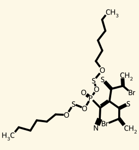 C=C(Br)C(=S)C(C(=S)C(=C)Br)=C(C#N)P(=O)(OSOCCCCCC)OSOCCCCCC